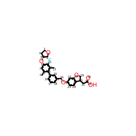 Cc1cc(O[C@@H]2CCOC2)c(F)c(C)c1-c1cccc(COc2ccc3c(c2)OCC3CC(=O)O)c1